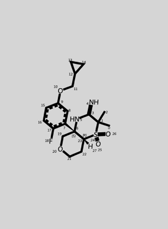 CC1(C)C(=N)N[C@@]2(c3cc(OCC4CC4)ccc3F)COCC[C@H]2S1(=O)=O